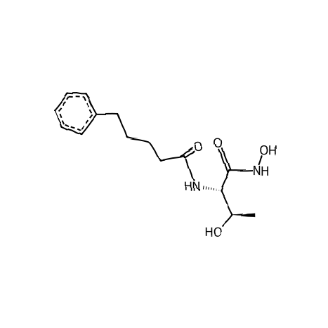 C[C@@H](O)[C@H](NC(=O)CCCCc1ccccc1)C(=O)NO